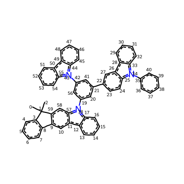 CC1(C)c2ccccc2-c2cc3c4ccccc4n(-c4cc(-c5ccc6c(c5)c5ccccc5n6-c5ccccc5)cc(-n5c6ccccc6c6ccccc65)c4)c3cc21